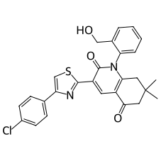 CC1(C)CC(=O)c2cc(-c3nc(-c4ccc(Cl)cc4)cs3)c(=O)n(-c3ccccc3CO)c2C1